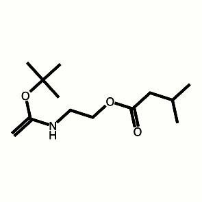 C=C(NCCOC(=O)CC(C)C)OC(C)(C)C